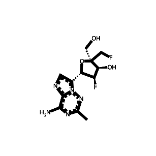 Cc1nc(N)c2ncc([C@@H]3O[C@@](CO)(CF)[C@@H](O)[C@H]3F)n2n1